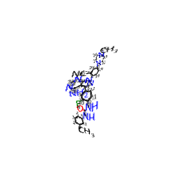 Cc1cccc(NC(=O)Nc2ccc(-c3nn(-c4ccc(N5CCN(C)CC5)cc4C#N)c4ncnc(N)c34)cc2F)c1